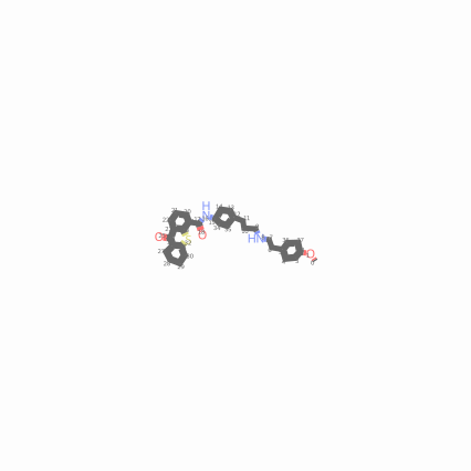 COc1ccc(CCNCCCc2ccc(NC(=O)c3cccc4c(=O)c5ccccc5sc34)cc2)cc1